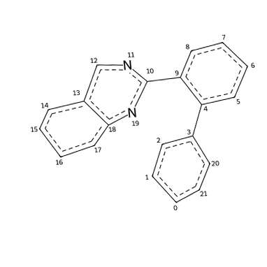 c1ccc(-c2ccccc2-c2ncc3ccccc3n2)cc1